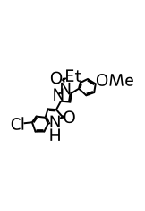 CCC(=O)n1nc(-c2cc3cc(Cl)ccc3[nH]c2=O)cc1-c1ccc(OC)cc1